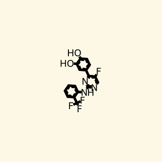 Oc1ccc(-c2nc(Nc3ccccc3C(F)(F)F)ncc2F)cc1O